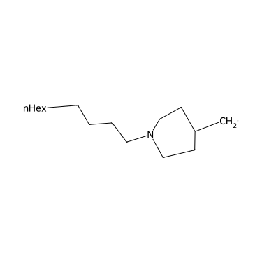 [CH2]C1CCN(CCCCCCCCCC)CC1